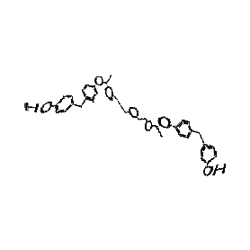 CC(OCCOCCOC(C)Oc1ccc(Cc2ccc(O)cc2)cc1)Oc1ccc(Cc2ccc(O)cc2)cc1